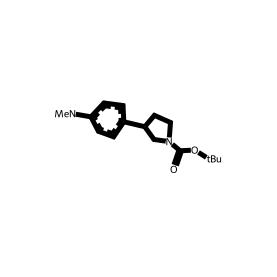 CNc1ccc(C2CCN(C(=O)OC(C)(C)C)C2)cc1